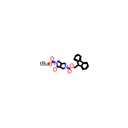 CC(C)(C)OC(=O)N1CC2CN(C(=O)OCC3c4ccccc4-c4ccccc43)CC2C1=O